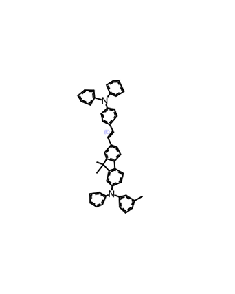 Cc1cccc(N(c2ccccc2)c2ccc3c(c2)C(C)(C)c2cc(/C=C/c4ccc(N(c5ccccc5)c5ccccc5)cc4)ccc2-3)c1